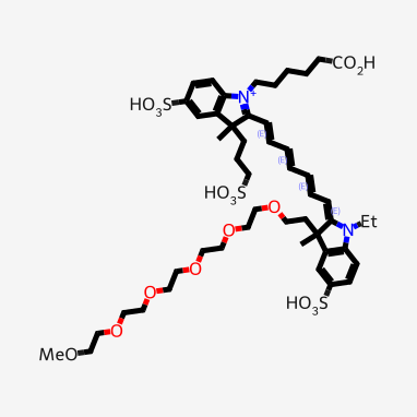 CCN1/C(=C/C=C/C=C/C=C/C2=[N+](CCCCCC(=O)O)c3ccc(S(=O)(=O)O)cc3C2(C)CCCS(=O)(=O)O)C(C)(CCOCCOCCOCCOCCOCCOC)c2cc(S(=O)(=O)O)ccc21